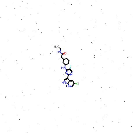 CCNC(=O)CC1CCCC(Nc2nc(C3=CNC4NC=C(Cl)C=C34)ncc2F)C1